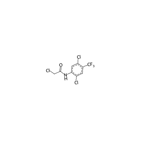 O=C(CCl)Nc1cc(Cl)c(C(F)(F)F)cc1Cl